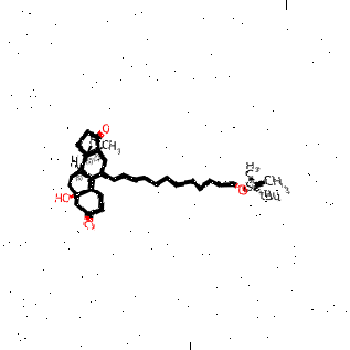 CC(C)(C)[Si](C)(C)OCCCCCCCCCCCCC1C[C@]2(C)C(=O)CC[C@H]2[C@@H]2CCC3(O)CC(=O)CCC3=C12